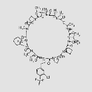 CC[C@H](C)[C@@H]1NC(=O)[C@H](C)N(C)C(=O)C[C@@H](C)NC(=O)[C@H](C(C)C)N(C)C(=O)C2(CCCC2)NC(=O)[C@@H]2CCCN2C(=O)[C@H](CCc2ccc(C(F)(F)F)c(Cl)c2)NC(=O)[C@@H](C)N(C)C(=O)[C@H](CC2CCCCC2)N(C)C(=O)CN(C)C(=O)[C@@H]2CCN2C1=O